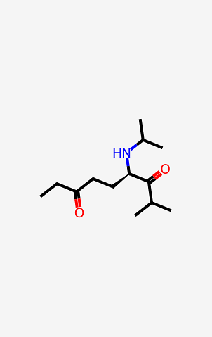 CCC(=O)CC[C@@H](NC(C)C)C(=O)C(C)C